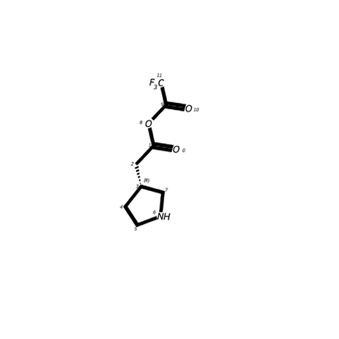 O=C(C[C@H]1CCNC1)OC(=O)C(F)(F)F